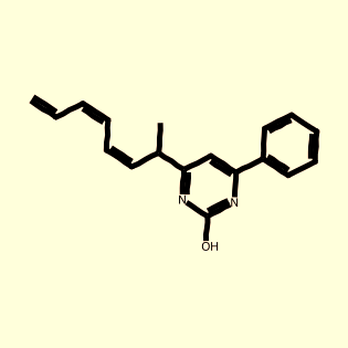 C=C/C=C\C=C/C(C)c1cc(-c2ccccc2)nc(O)n1